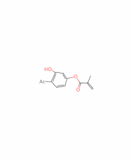 C=C(C)C(=O)Oc1ccc(C(C)=O)c(O)c1